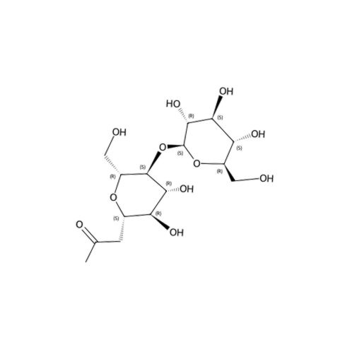 CC(=O)C[C@@H]1O[C@H](CO)[C@@H](O[C@@H]2O[C@H](CO)[C@@H](O)[C@H](O)[C@H]2O)[C@H](O)[C@H]1O